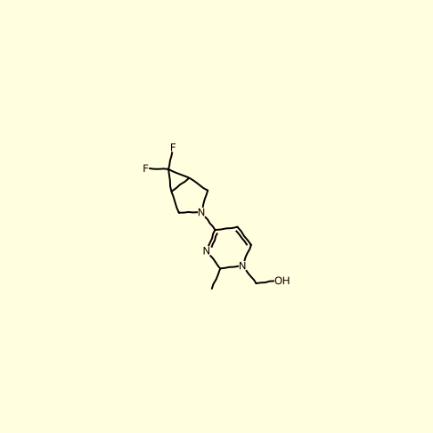 CC1N=C(N2CC3C(C2)C3(F)F)C=CN1CO